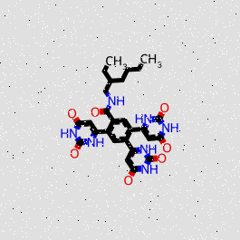 CCCCC(CC)CNC(=O)c1cc(-c2cc(=O)[nH]c(=O)[nH]2)c(-c2cc(=O)[nH]c(=O)[nH]2)cc1-c1cc(=O)[nH]c(=O)[nH]1